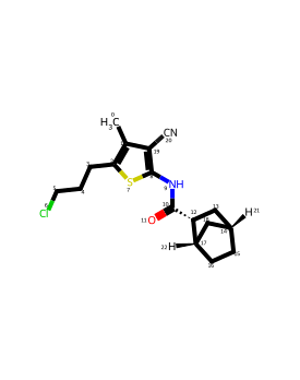 Cc1c(CCCCl)sc(NC(=O)[C@@H]2C[C@@H]3CC[C@H]2C3)c1C#N